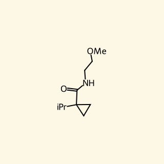 COCCNC(=O)C1(C(C)C)CC1